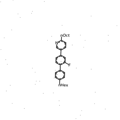 CCCCCCCCc1ccc(-c2ccc(-c3ccc(CCCCCC)cc3)c(F)c2)cn1